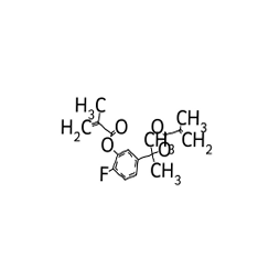 C=C(C)C(=O)Oc1cc(C(C)(C)OC(=O)C(=C)C)ccc1F